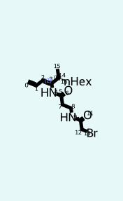 C=C/C=C(\NC(=O)CCNC(=O)CBr)[C@H](C)CCCCCC